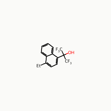 CCc1ccc(C(O)(C(F)(F)F)C(F)(F)F)c2ccccc12